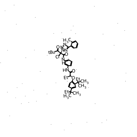 CCC(Oc1ccc(C(C)(C)CC)cc1C(C)(C)CC)C(=O)Nc1cccc(NC(=O)C(Cl)(C(=O)C(C)(C)C)n2nnc(-c3ccccc3C)n2)c1